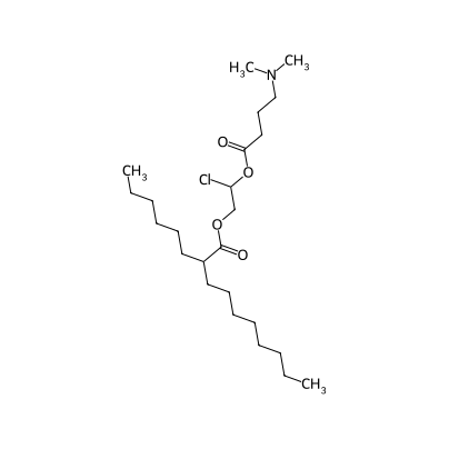 CCCCCCCCC(CCCCCC)C(=O)OCC(Cl)OC(=O)CCCN(C)C